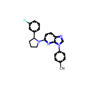 N#Cc1ccc(-n2cnc3ccc(N4CCCC4c4cccc(F)c4)nc32)cc1